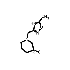 CC1NC(CN2CCC[C@H](C)C2)=NO1